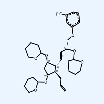 C=CC[C@@H]1[C@@H](/C=C/[C@H](COc2cccc(C(F)(F)F)c2)OC2CCCCO2)[C@H](OC2CCCCO2)C[C@@H]1OC1CCCCO1